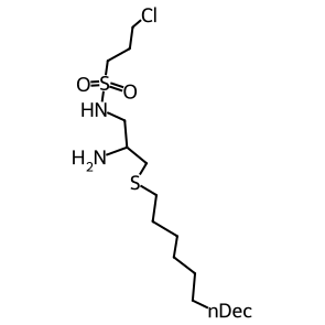 CCCCCCCCCCCCCCCCSCC(N)CNS(=O)(=O)CCCCl